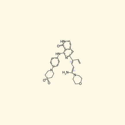 C=C/C(=C\C=C(/N)N1CCOCC1)c1cc2cc[nH]c(=O)c2c(Nc2ccc(N3CCS(=O)(=O)CC3)cc2)n1